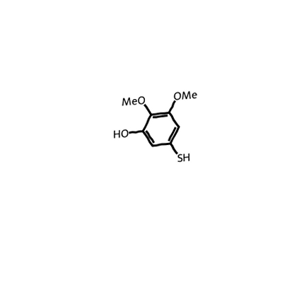 COc1cc(S)cc(O)c1OC